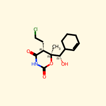 C[C@]1([C@@H](O)C2C=CCCC2)OC(=O)NC(=O)[C@@H]1CCCl